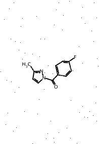 Cc1ccn(C(=O)c2ccc(F)cc2)n1